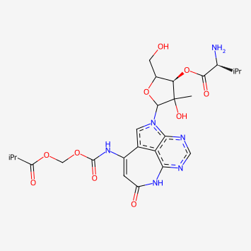 CC(C)C(=O)OCOC(=O)NC1=CC(=O)Nc2ncnc3c2c1cn3C1OC(CO)[C@@H](OC(=O)[C@@H](N)C(C)C)C1(C)O